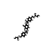 C=CC(=O)OCc1ccc(C(F)(F)Oc2ccc(OC(F)(F)c3ccc(COC(=O)C=C)cc3)c(C)c2)cc1